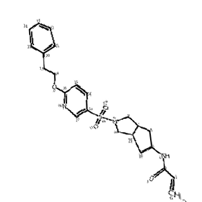 C=CC(=O)NC1CC2CN(S(=O)(=O)c3ccc(OCCc4ccccc4)nc3)CC2C1